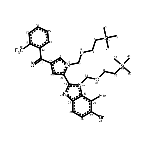 C[Si](C)(C)CCOCn1cc(C(=O)c2ccccc2C(F)(F)F)cc1-c1nc2ccc(Br)c(F)c2n1COCC[Si](C)(C)C